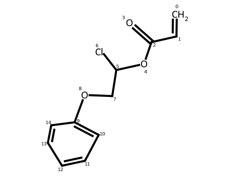 C=CC(=O)OC(Cl)COc1ccccc1